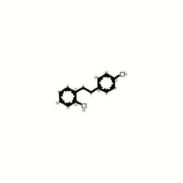 Clc1ccc(C[CH]c2ccccc2Cl)cc1